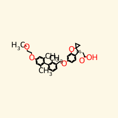 COCCOc1cc(C)c(-c2cccc(COc3ccc4c(c3)OC3(CC3)[C@@H]4CC(=O)O)c2C)c(C)c1